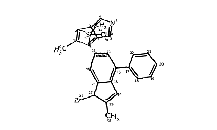 CC1=C2C3=CN=CC3=C1[Si]2(C)C.CC1=Cc2c(-c3ccccc3)cccc2[CH]1[Zr]